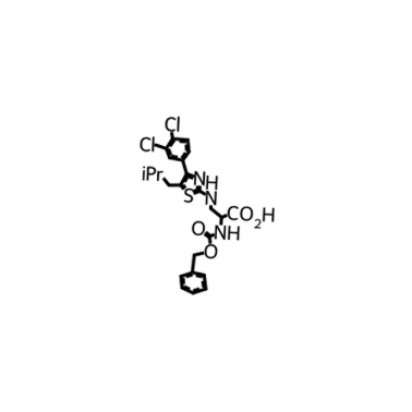 CC(C)Cc1sc(NCC(NC(=O)OCc2ccccc2)C(=O)O)nc1-c1ccc(Cl)c(Cl)c1